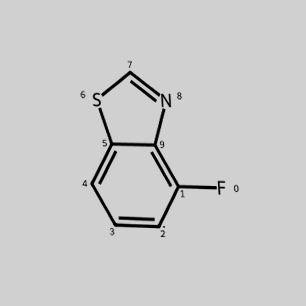 Fc1[c]ccc2scnc12